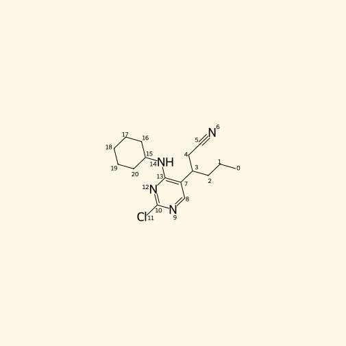 CCCC(CC#N)c1cnc(Cl)nc1NC1CCCCC1